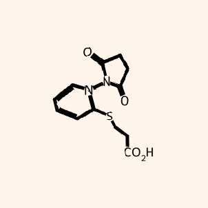 O=C(O)CCSC1C=CC=CN1N1C(=O)CCC1=O